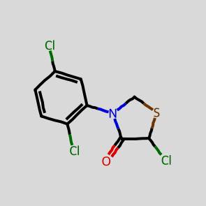 O=C1C(Cl)SCN1c1cc(Cl)ccc1Cl